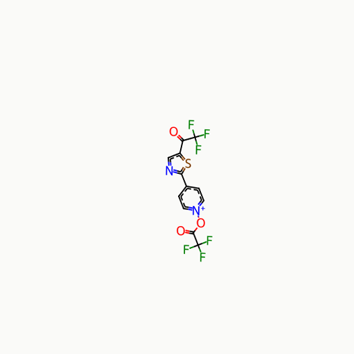 O=C(O[n+]1ccc(-c2ncc(C(=O)C(F)(F)F)s2)cc1)C(F)(F)F